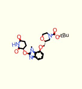 Cn1c(O[C@@H]2CCC(=O)NC2=O)nc2cccc(OC[C@H]3CN(C(=O)OC(C)(C)C)CCO3)c21